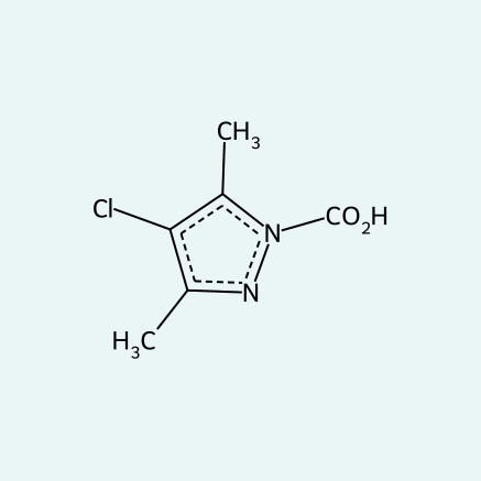 Cc1nn(C(=O)O)c(C)c1Cl